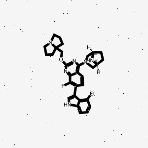 CCc1cccc2[nH]cc(-c3ccc4c(N5C[C@H]6CC[C@@H](C5)N6)nc(OCC56CCCN5CCC6)nc4c3F)c12